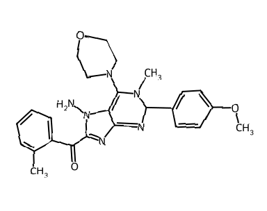 COc1ccc(C2N=c3nc(C(=O)c4ccccc4C)n(N)c3=C(N3CCOCC3)N2C)cc1